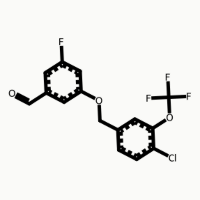 O=Cc1cc(F)cc(OCc2ccc(Cl)c(OC(F)(F)F)c2)c1